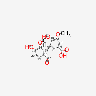 COc1cc(C(=O)O)ccc1O.COc1cc(C=O)ccc1O